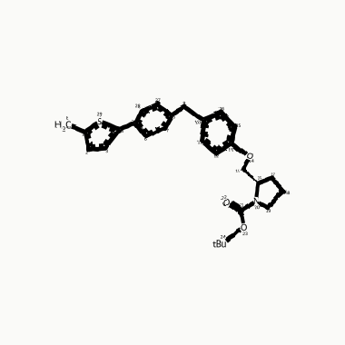 Cc1ccc(-c2ccc(Cc3ccc(OC[C@H]4CCCN4C(=O)OC(C)(C)C)cc3)cc2)s1